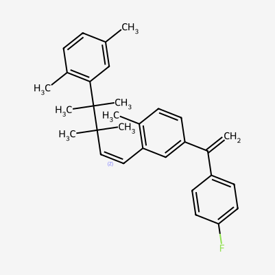 C=C(c1ccc(F)cc1)c1ccc(C)c(/C=C\C(C)(C)C(C)(C)c2cc(C)ccc2C)c1